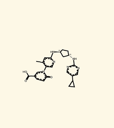 Cc1cc(N[C@H]2CC[C@H](Nc3ncc(C4CC4)cn3)C2)ncc1-n1cc(C(=O)O)ccc1=O